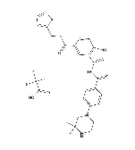 CC1(C)CN(c2ccc(C(=O)Nc3n[nH]c4ccc(C(=O)NCc5cccs5)cc34)cc2)CCN1.O=C(O)C(F)(F)F